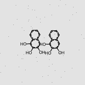 Oc1cc2ccccc2c(O)c1O.Oc1cc2ccccc2c(O)c1O